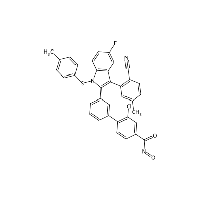 Cc1ccc(Sn2c(-c3cccc(-c4ccc(C(=O)N=O)cc4Cl)c3)c(-c3cc(C)ccc3C#N)c3cc(F)ccc32)cc1